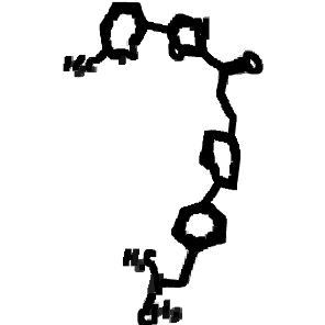 Cc1cccc(-c2cnc(C(=O)CCc3ccc(-c4ccc(CN(C)C)cc4)cc3)o2)n1